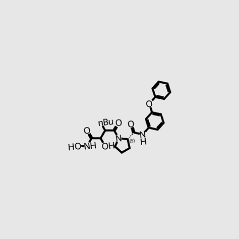 CCCCC(C(=O)N1CCC[C@H]1C(=O)Nc1cccc(Oc2ccccc2)c1)C(O)C(=O)NO